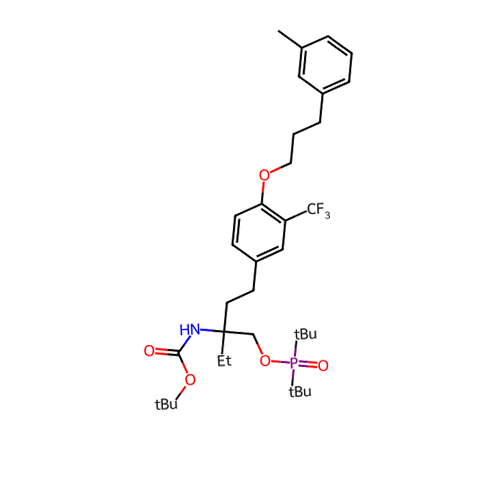 CCC(CCc1ccc(OCCCc2cccc(C)c2)c(C(F)(F)F)c1)(COP(=O)(C(C)(C)C)C(C)(C)C)NC(=O)OC(C)(C)C